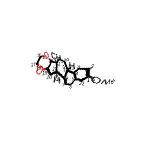 COC1=CCC2=C(CC=C3[C@@H]2CC[C@]2(C)C4OCCOC4C[C@@H]32)C1